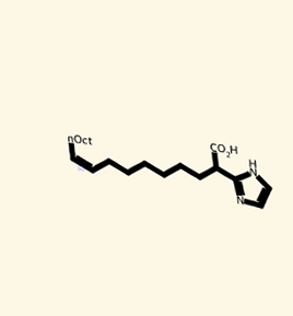 CCCCCCCC/C=C\CCCCCCC(C(=O)O)c1ncc[nH]1